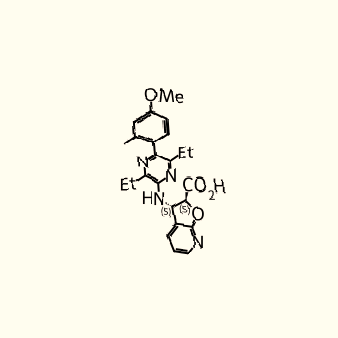 CCc1nc(-c2ccc(OC)cc2C)c(CC)nc1N[C@H]1c2cccnc2O[C@@H]1C(=O)O